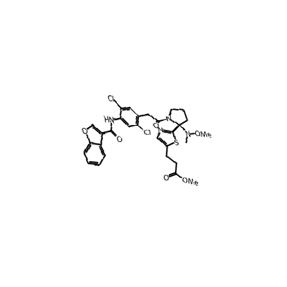 COC(=O)CCc1cnc([C@@]2(N(C)OC)CCCN2C(=O)Cc2cc(Cl)c(NC(=O)c3coc4ccccc34)cc2Cl)s1